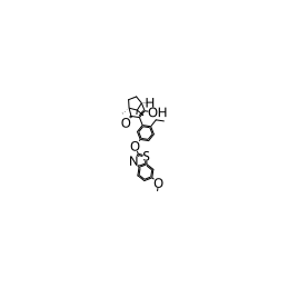 CCc1ccc(Oc2nc3ccc(OC)cc3s2)cc1C1=C(O)[C@@H]2CC[C@](C)(C1=O)C2(C)C